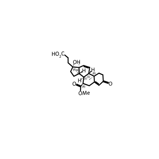 COC(=O)[C@@H]1CC2=CC(=O)CC[C@]2(C)[C@H]2C=C[C@@]3(C)[C@@H](CC[C@@]3(O)CCC(=O)O)[C@H]12